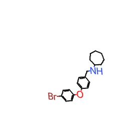 Brc1ccc(Oc2ccc(CNC3CCCCCC3)cc2)cc1